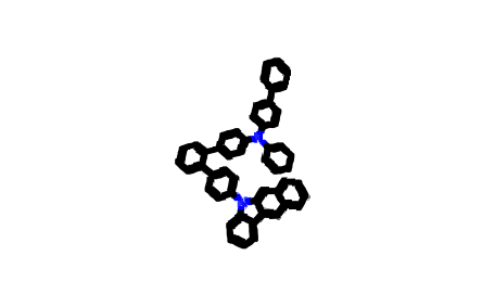 C1=CC(N(c2ccc(-c3ccccc3)cc2)c2ccc(-c3ccccc3-c3ccc(-n4c5ccccc5c5cc6ccccc6cc54)cc3)cc2)=CCC1